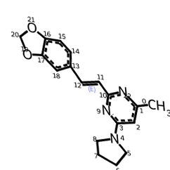 Cc1cc(N2CCCC2)nc(/C=C/c2ccc3c(c2)OCO3)n1